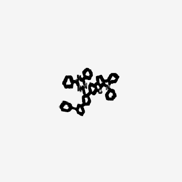 c1ccc(-c2cccc(-c3ccc(-c4ccc5c(c4)oc4c5ccc5c6ccccc6n(-c6ccccc6)c54)c(-c4nc(-c5ccccc5)nc(-c5ccccc5)n4)c3)c2)cc1